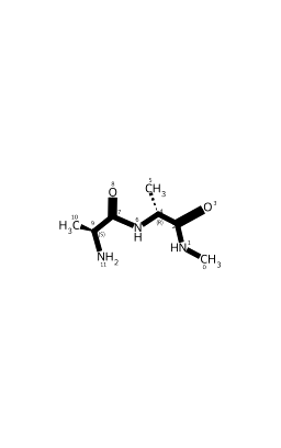 CNC(=O)[C@@H](C)NC(=O)[C@H](C)N